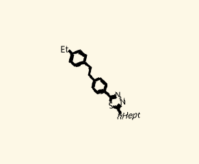 CCCCCCCc1nnc(-c2ccc(CCc3ccc(CC)cc3)cc2)s1